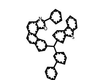 c1ccc(-c2cccc(C(c3ccc4c(c3)sc3ccccc34)c3ccc4ccc5ccc6nc(-c7ccccc7)oc6c5c4c3)c2)cc1